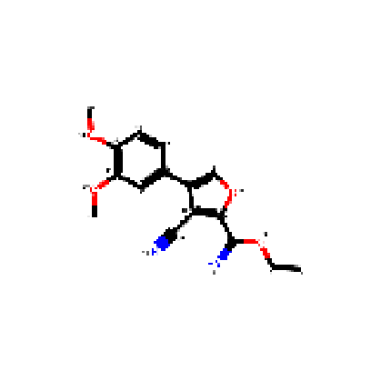 CCOC(=N)c1occ(-c2ccc(OC)c(OC)c2)c1C#N